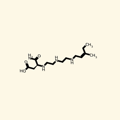 CC/C(C)=C\CNCCNCCN[C@@H](CC(=O)O)C(N)=O